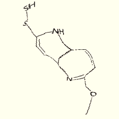 COC1=NC2C=C(SS)NC2C=C1